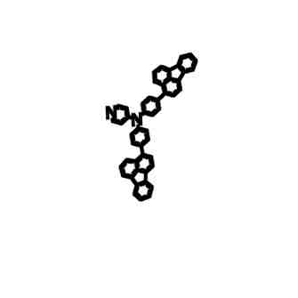 c1ccc2c(c1)-c1cccc3c(-c4ccc(N(c5ccncc5)c5ccc(-c6ccc7c8c(cccc68)-c6ccccc6-7)cc5)cc4)ccc-2c13